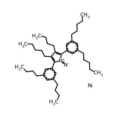 CCCCCC1=C(c2cc(CCCC)cc(CCCC)c2)[N+](=[N-])C(c2cc(CCCCC)cc(CCCCC)c2)=C1CCCC.[Ni]